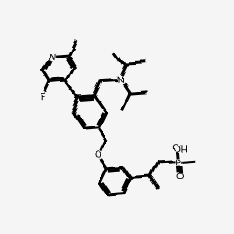 Cc1cc(-c2ccc(COc3cccc(C(C)CP(C)(=O)O)c3)cc2CN(C(C)C)C(C)C)c(F)cn1